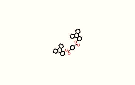 O=C(Oc1cccc2c3ccccc3c3ccccc3c12)c1ccc(C(=O)Oc2cccc3c4ccccc4c4ccccc4c23)cc1